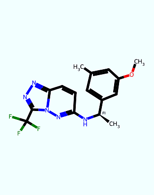 COc1cc(C)cc([C@@H](C)Nc2ccc3nnc(C(F)(F)F)n3n2)c1